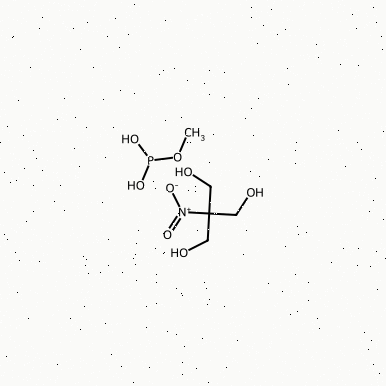 COP(O)O.O=[N+]([O-])C(CO)(CO)CO